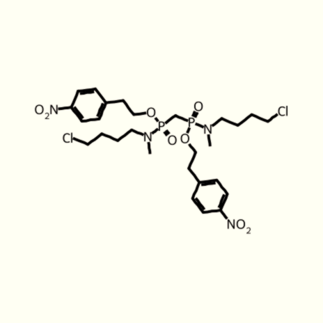 CN(CCCCCl)P(=O)(CP(=O)(OCCc1ccc([N+](=O)[O-])cc1)N(C)CCCCCl)OCCc1ccc([N+](=O)[O-])cc1